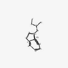 CCC(C)Cn1ccc2c[c]ccc21